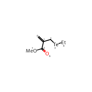 C=C(C[Te]CC)C(=O)OC